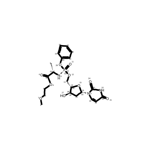 COCCOC(=O)[C@H](C)N[P@](=O)(OC[C@@H]1O[C@H](n2ccc(=O)[nH]c2=O)C[C@H]1O)Oc1ccccc1